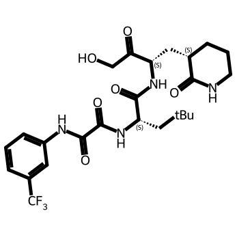 CC(C)(C)C[C@H](NC(=O)C(=O)Nc1cccc(C(F)(F)F)c1)C(=O)N[C@@H](C[C@@H]1CCCNC1=O)C(=O)CO